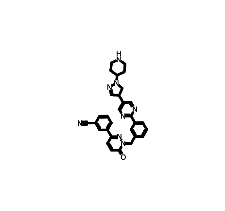 N#Cc1cccc(-c2ccc(=O)n(Cc3cccc(-c4ncc(C5C=NN(C6CCNCC6)C5)cn4)c3)n2)c1